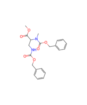 COC(=O)C(CNC(=O)OCc1ccccc1)N(C)C(=O)OCc1ccccc1